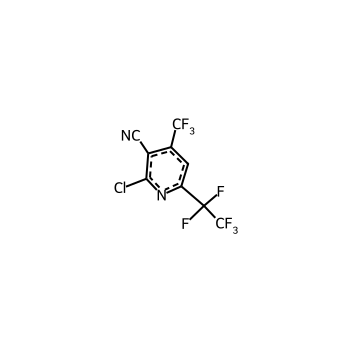 N#Cc1c(C(F)(F)F)cc(C(F)(F)C(F)(F)F)nc1Cl